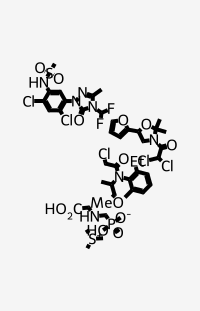 CC1(C)OC(c2ccco2)CN1C(=O)C(Cl)Cl.CCc1cccc(C)c1N(C(=O)CCl)C(C)COC.C[S+](C)C.Cc1nn(-c2cc(NS(C)(=O)=O)c(Cl)cc2Cl)c(=O)n1C(F)F.O=C(O)CNCP(=O)([O-])O